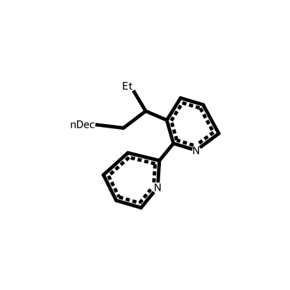 CCCCCCCCCCCC(CC)c1cccnc1-c1ccccn1